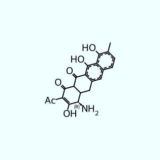 CC(=O)C1=C(O)[C@H](N)C2Cc3cc4ccc(C)c(O)c4c(O)c3C(=O)C2C1=O